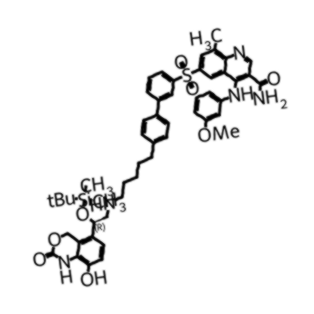 COc1cccc(Nc2c(C(N)=O)cnc3c(C)cc(S(=O)(=O)c4cccc(-c5ccc(CCCCCNC[C@H](O[Si](C)(C)C(C)(C)C)c6ccc(O)c7c6COC(=O)N7)cc5)c4)cc23)c1